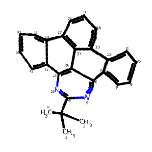 CC(C)(C)c1nc2c3ccccc3c3cccc4c5ccccc5c(n1)c2c34